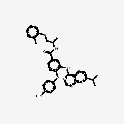 Cc1ccccc1OCC(C)NC(=O)c1ccc(Sc2ccc(N)cc2)c(Nc2ncnc3nc(C(C)C)ccc23)c1